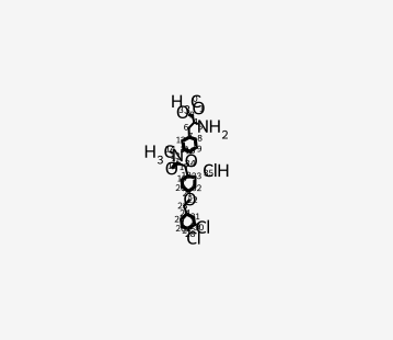 COC(=O)C(N)Cc1ccc2c(c1)N(C)C(=O)C(c1ccc(OCc3ccc(Cl)c(Cl)c3)cc1)O2.Cl